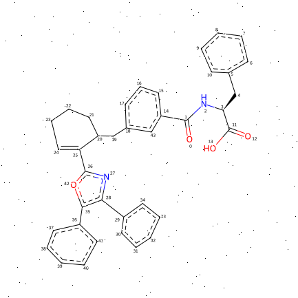 O=C(N[C@@H](Cc1ccccc1)C(=O)O)c1cccc(CC2CCCC=C2c2nc(-c3ccccc3)c(-c3ccccc3)o2)c1